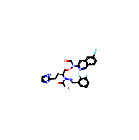 CC(=O)N(NCc1cccc(F)c1F)[C@@H](CCc1ncc[nH]1)CON(C=O)c1cc2cc(F)ccc2cn1